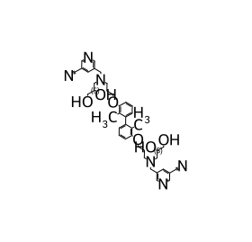 Cc1c(OCCCN(Cc2cncc(C#N)c2)C[C@H](O)CO)cccc1-c1cccc(OCCCN(Cc2cncc(C#N)c2)C[C@H](O)CO)c1C